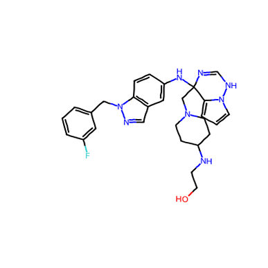 OCCNC1CCN(CC2(Nc3ccc4c(cnn4Cc4cccc(F)c4)c3)N=CNn3cccc32)CC1